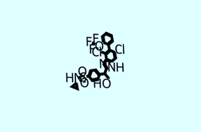 O=S(=O)(NC1CC1)c1ccc(C(CO)c2nc3c(Cl)c(-c4ccccc4OC(F)(F)F)c(Cl)cc3[nH]2)cc1